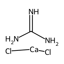 N=C(N)N.[Cl][Ca][Cl]